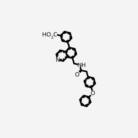 O=C(Cc1ccc(Oc2ccccc2)cc1)NCc1ccc(-c2cccc(C(=O)O)c2)c2ccncc12